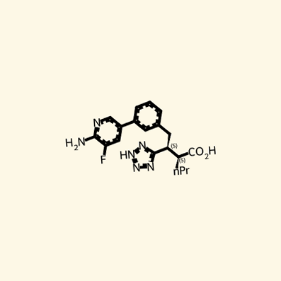 CCC[C@H](C(=O)O)[C@H](Cc1cccc(-c2cnc(N)c(F)c2)c1)c1nn[nH]n1